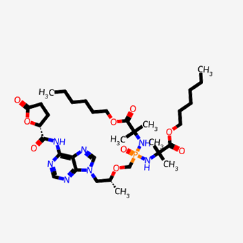 CCCCCCOC(=O)C(C)(C)NP(=O)(CO[C@H](C)Cn1cnc2c(NC(=O)[C@H]3CCC(=O)O3)ncnc21)NC(C)(C)C(=O)OCCCCCC